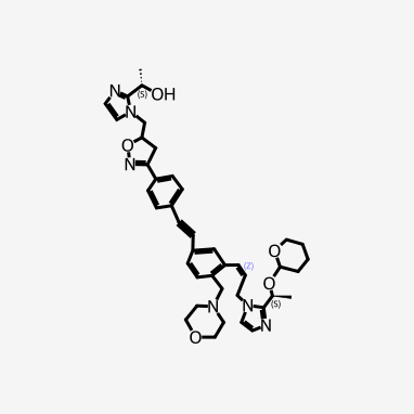 C[C@H](O)c1nccn1CC1CC(c2ccc(C#Cc3ccc(CN4CCOCC4)c(/C=C\Cn4ccnc4[C@H](C)OC4CCCCO4)c3)cc2)=NO1